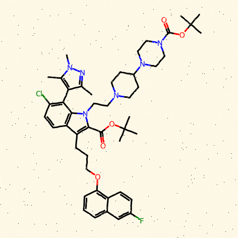 Cc1nn(C)c(C)c1-c1c(Cl)ccc2c(CCCOc3cccc4cc(F)ccc34)c(C(=O)OC(C)(C)C)n(CCN3CCC(N4CCN(C(=O)OC(C)(C)C)CC4)CC3)c12